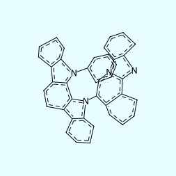 c1ccc(-n2c3ccccc3c3ccc4c5ccccc5n(-c5cn6c7ccccc7nc6c6ccccc56)c4c32)cc1